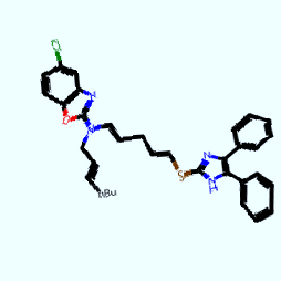 CCCCC=CCN(CCCCCSc1nc(-c2ccccc2)c(-c2ccccc2)[nH]1)c1nc2cc(Cl)ccc2o1